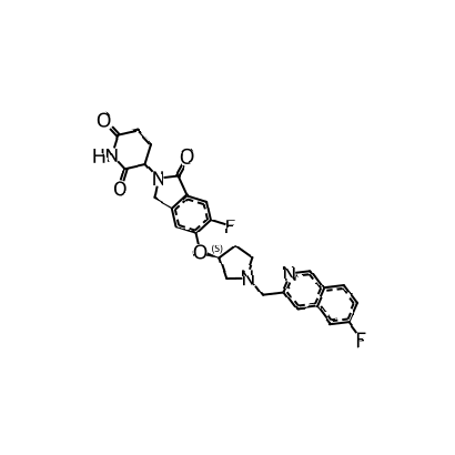 O=C1CCC(N2Cc3cc(O[C@H]4CCN(Cc5cc6cc(F)ccc6cn5)C4)c(F)cc3C2=O)C(=O)N1